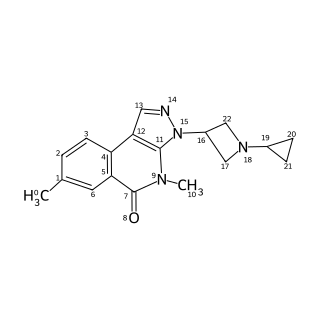 Cc1ccc2c(c1)c(=O)n(C)c1c2cnn1C1CN(C2CC2)C1